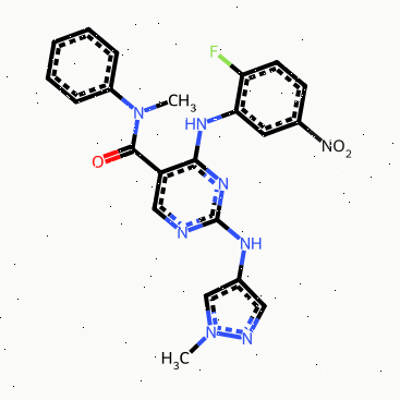 CN(C(=O)c1cnc(Nc2cnn(C)c2)nc1Nc1cc([N+](=O)[O-])ccc1F)c1ccccc1